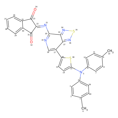 Cc1ccc(N(c2ccc(C)cc2)c2ccc(-c3cnc(N=c4c(=O)c5ccccc5c4=O)c4nsnc34)s2)cc1